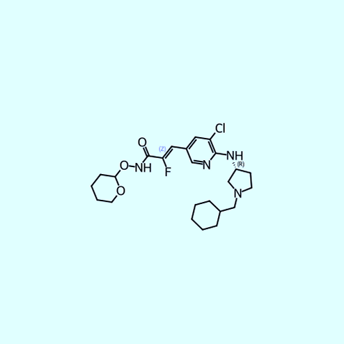 O=C(NOC1CCCCO1)/C(F)=C/c1cnc(N[C@@H]2CCN(CC3CCCCC3)C2)c(Cl)c1